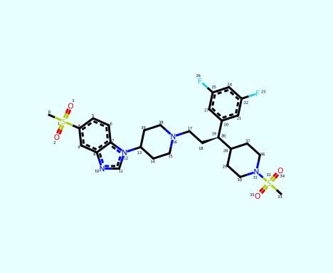 CS(=O)(=O)c1ccc2c(c1)ncn2C1CCN(CC[C@@H](c2cc(F)cc(F)c2)C2CCN(S(C)(=O)=O)CC2)CC1